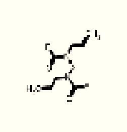 C=CCN(SN(CC=C)C(=O)F)C(=O)F